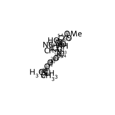 COC(=O)c1ccc(O)c(S(=O)(=O)Nc2cc(C#N)c(Cl)cc2N2CCCC[C@H]2COCCOCOCC[Si](C)(C)C)c1